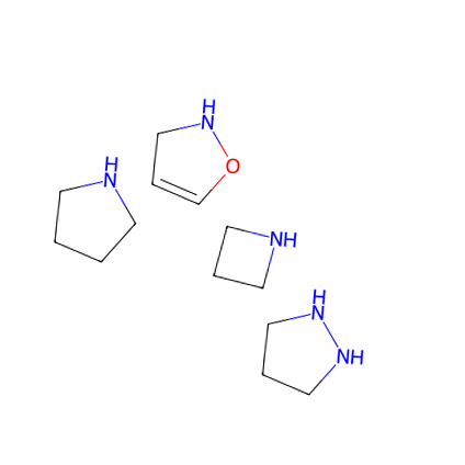 C1=CONC1.C1CCNC1.C1CNC1.C1CNNC1